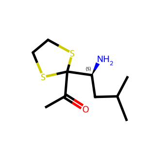 CC(=O)C1([C@@H](N)CC(C)C)SCCS1